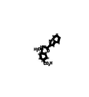 CC(NC(=O)c1cc2ccccn2n1)c1ccc(C(=O)O)cc1